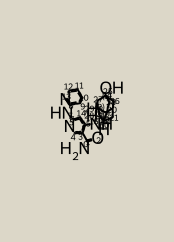 NC(=O)c1cnc(Nc2ccccn2)cc1N[C@@H]1[C@@H]2CC3C[C@H]1C[C@@](O)(C3)C2